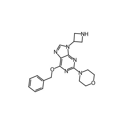 c1ccc(COc2nc(N3CCOCC3)nc3c2ncn3C2CNC2)cc1